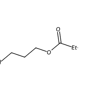 C[CH]C(=O)OCCCCl